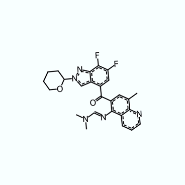 Cc1cc(C(=O)c2cc(F)c(F)c3nn(C4CCCCO4)cc23)c(/N=C/N(C)C)c2cccnc12